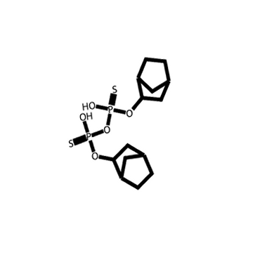 OP(=S)(OC1CC2CCC1C2)OP(O)(=S)OC1CC2CCC1C2